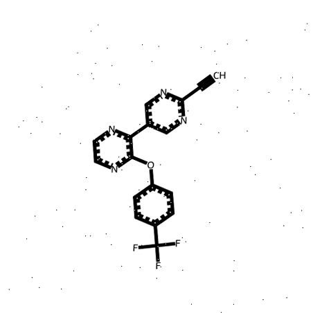 C#Cc1ncc(-c2nccnc2Oc2ccc(C(F)(F)F)cc2)cn1